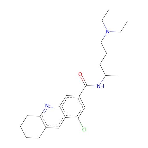 CCN(CC)CCCC(C)NC(=O)c1cc(Cl)c2cc3c(nc2c1)CCCC3